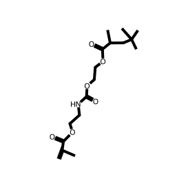 C=C(C)C(=O)OCCNC(=O)OCCOC(=O)C(C)CC(C)(C)C